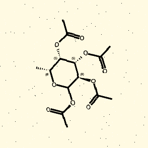 CC(=O)OC1O[C@H](C)[C@H](OC(C)=O)[C@H](OC(C)=O)[C@H]1OC(C)=O